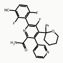 CC(C)C1(c2c(F)c(-c3c(F)ccc(C#N)c3F)nc(C(N)=O)c2-c2cccnc2)CCCCO1